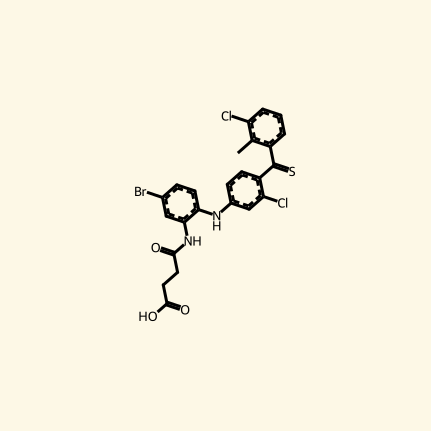 Cc1c(Cl)cccc1C(=S)c1ccc(Nc2ccc(Br)cc2NC(=O)CCC(=O)O)cc1Cl